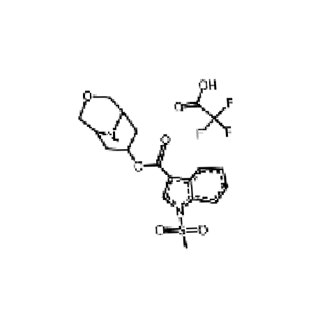 CN1C2COCC1CC(OC(=O)c1cn(S(C)(=O)=O)c3ccccc13)C2.O=C(O)C(F)(F)F